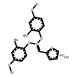 CCOc1ccc([O][Ti](=[CH]c2cccs2)[O]c2ccc(OCC)cc2C(C)(C)C)c(C(C)(C)C)c1.Cl.Cl